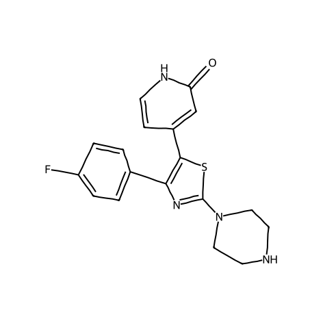 O=c1cc(-c2sc(N3CCNCC3)nc2-c2ccc(F)cc2)cc[nH]1